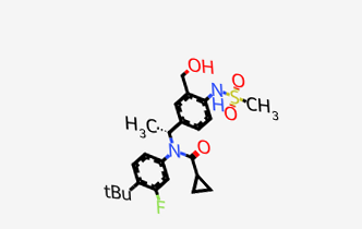 C[C@H](c1ccc(NS(C)(=O)=O)c(CO)c1)N(C(=O)C1CC1)c1ccc(C(C)(C)C)c(F)c1